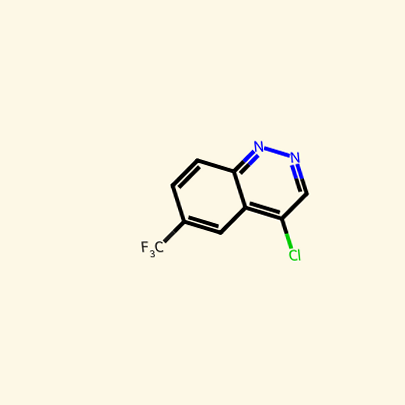 FC(F)(F)c1ccc2nncc(Cl)c2c1